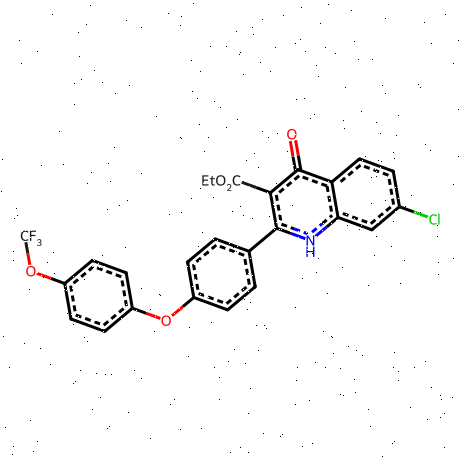 CCOC(=O)c1c(-c2ccc(Oc3ccc(OC(F)(F)F)cc3)cc2)[nH]c2cc(Cl)ccc2c1=O